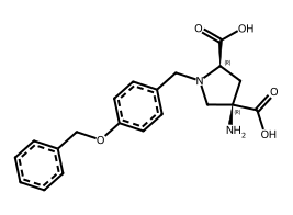 N[C@]1(C(=O)O)C[C@H](C(=O)O)N(Cc2ccc(OCc3ccccc3)cc2)C1